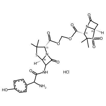 CC1(C)S[C@@H]2C(NC(=O)C(N)c3ccc(O)cc3)C(=O)N2[C@H]1C(=O)OCOC(=O)[C@@H]1N2C(=O)C[C@H]2S(=O)(=O)C1(C)C.Cl